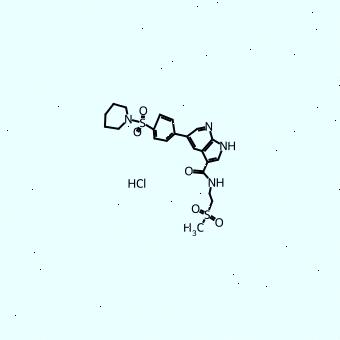 CS(=O)(=O)CCNC(=O)c1c[nH]c2ncc(-c3ccc(S(=O)(=O)N4CCCCC4)cc3)cc12.Cl